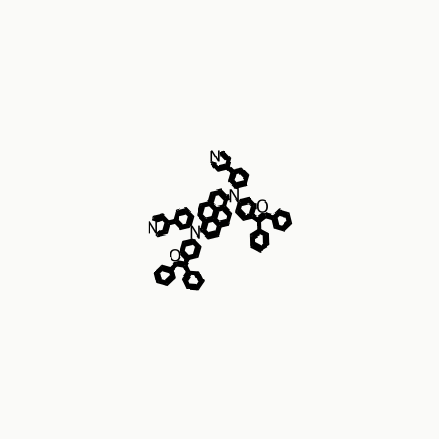 c1ccc(-c2oc3cc(N(c4cccc(-c5ccncc5)c4)c4ccc5ccc6c(N(c7cccc(-c8ccncc8)c7)c7ccc8c(-c9ccccc9)c(-c9ccccc9)oc8c7)ccc7ccc4c5c76)ccc3c2-c2ccccc2)cc1